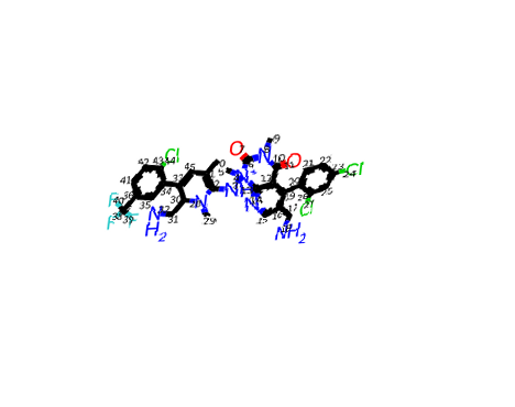 CC1=C(N[N+]2(C)C(=O)N(C)C(=O)c3c2ncc(CN)c3-c2ccc(Cl)cc2Cl)N(C)C(CN)C(c2cc(C(F)(F)F)ccc2Cl)=C1